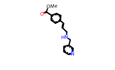 COC(=O)c1ccc(/C=C/CNCc2cccnc2)cc1